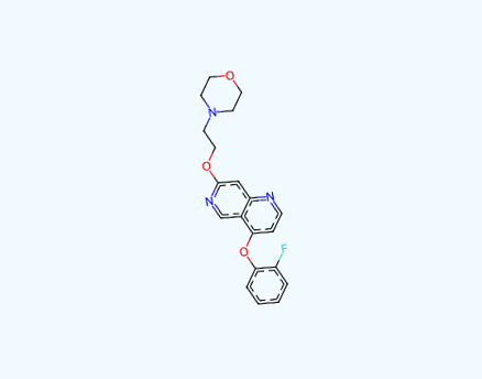 Fc1ccccc1Oc1ccnc2cc(OCCN3CCOCC3)ncc12